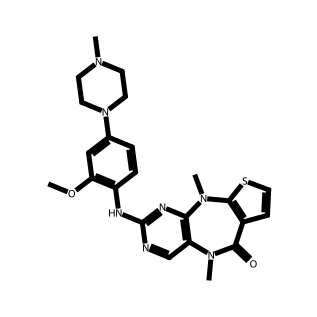 COc1cc(N2CCN(C)CC2)ccc1Nc1ncc2c(n1)N(C)c1sccc1C(=O)N2C